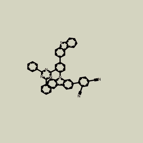 N#Cc1ccc(-c2ccc3c4ccccc4n(-c4ccc(-c5ccc6sc7ccccc7c6c5)cc4-c4nc(-c5ccccc5)nc(-c5ccccc5)n4)c3c2)c(C#N)c1